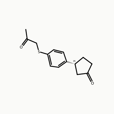 CC(=O)CSc1ccc([C@@H]2CCC(=O)C2)cc1